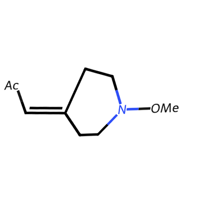 CON1CCC(=CC(C)=O)CC1